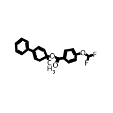 CC1(OC(=O)c2ccc(OC(F)F)cc2)C=CC(c2ccccc2)=CC1